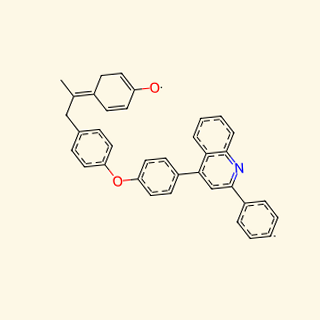 CC(Cc1ccc(Oc2ccc(-c3cc(-c4cc[c]cc4)nc4ccccc34)cc2)cc1)=C1C=CC([O])=CC1